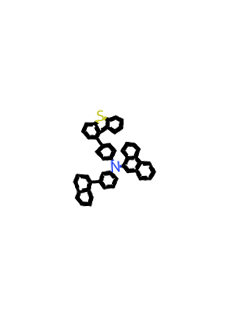 c1cc(-c2cccc3ccccc23)cc(N(c2ccc(-c3cccc4sc5ccccc5c34)cc2)c2cc3ccccc3c3ccccc23)c1